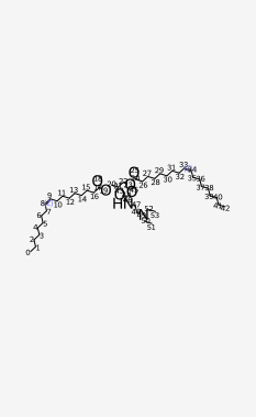 CCCCCCCC/C=C\CCCCCCCC(=O)OCC(COC(=O)CCCCCCC/C=C\CCCCCCCC)OC(=O)NCCN(CC)CC